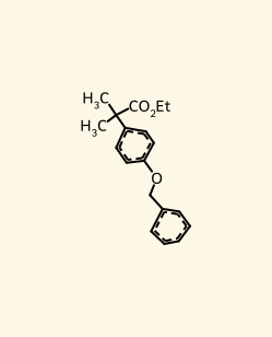 CCOC(=O)C(C)(C)c1ccc(OCc2ccccc2)cc1